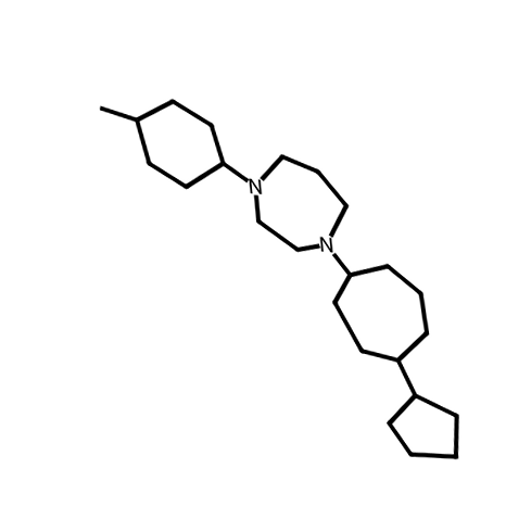 CC1CCC(N2CCCN(C3CCCC(C4CCCC4)CC3)CC2)CC1